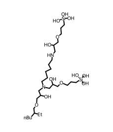 CCCCC(CC)COCC(O)CN(CCCCCCNCC(O)COCCC[Si](O)(O)O)CC(O)COCCC[Si](O)(O)O